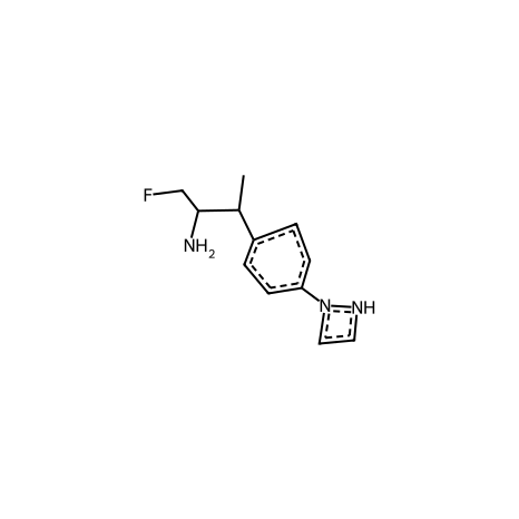 CC(c1ccc(-n2cc[nH]2)cc1)C(N)CF